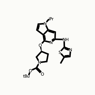 Cc1cnc(Nc2cc3c(ccn3C(C)C)c(O[C@H]3CCN(C(=O)OC(C)(C)C)C3)n2)s1